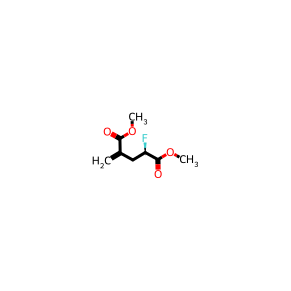 C=C(C[C@@H](F)C(=O)OC)C(=O)OC